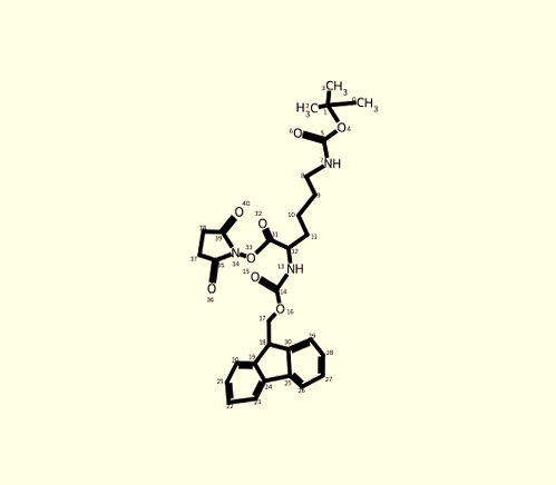 CC(C)(C)OC(=O)NCCCCC(NC(=O)OCC1c2ccccc2-c2ccccc21)C(=O)ON1C(=O)CCC1=O